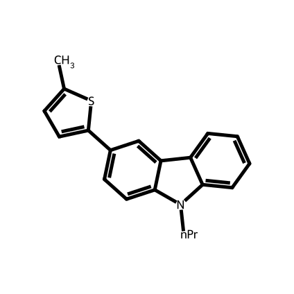 CCCn1c2ccccc2c2cc(-c3ccc(C)s3)ccc21